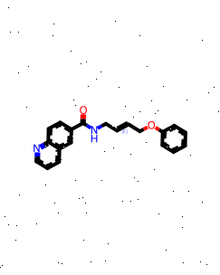 O=C(NC/C=C/COc1ccccc1)c1ccc2ncccc2c1